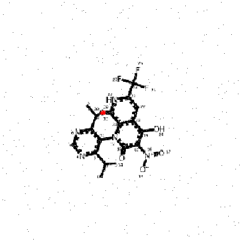 CC(C)c1ncnc(C(C)C)c1-n1c(=O)c([N+](=O)[O-])c(O)c2cc(C(F)(F)F)[nH]c(=O)c21